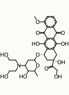 COc1cccc2c1C(=O)c1c(O)c3c(c(O)c1C2=O)C[C@@](O)(C(=O)CO)C[C@@H]3OC1CC(N(CCO)CCO)C(O)C(C)O1